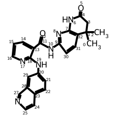 CC1(C)CC(=O)Nc2nc(NC(=O)c3cccnc3Nc3ccc4ccncc4c3)ccc21